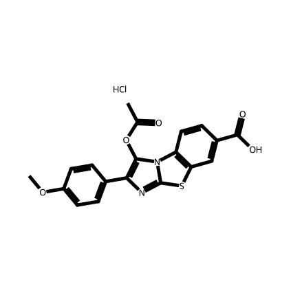 COc1ccc(-c2nc3sc4cc(C(=O)O)ccc4n3c2OC(C)=O)cc1.Cl